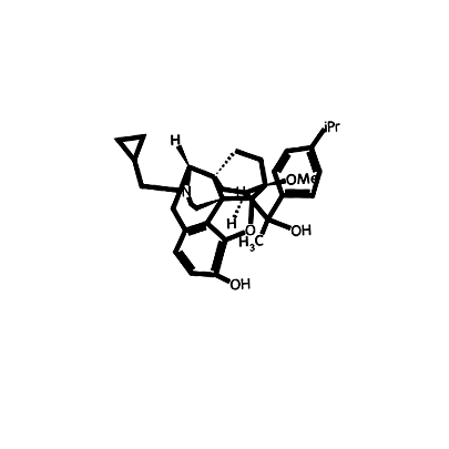 CO[C@]12CC[C@@]3(C[C@@H]1C(C)(O)c1ccc(C(C)C)cc1)[C@H]1Cc4ccc(O)c5c4[C@@]3(CCN1CC1CC1)[C@H]2O5